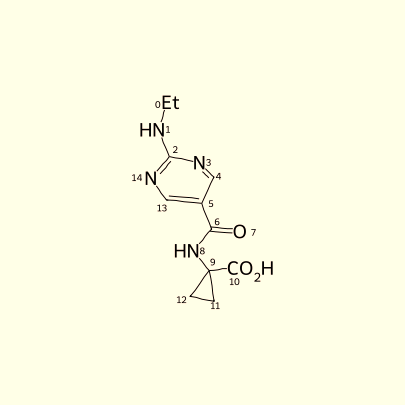 CCNc1ncc(C(=O)NC2(C(=O)O)CC2)cn1